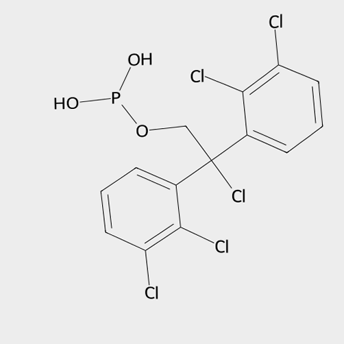 OP(O)OCC(Cl)(c1cccc(Cl)c1Cl)c1cccc(Cl)c1Cl